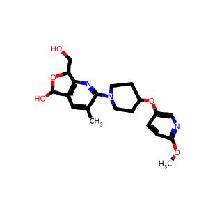 COc1ccc(OC2CCN(c3nc4c(cc3C)C(O)OC4CO)CC2)cn1